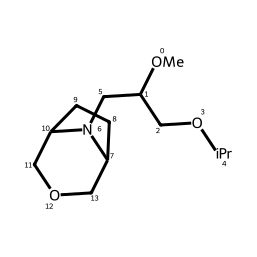 COC(COC(C)C)CN1C2CCC1COC2